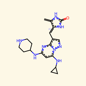 C=c1[nH]c(=O)[nH]/c1=C\c1cnn2c(NC3CC3)cc(NC3CCNCC3)nc12